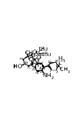 CC1(C)CC=C(c2cc(C34O[Si](C(C)(C)C)(C(C)(C)C)OC3C3(C)CC(O)CC4(C)O3)ccc2N)CC1